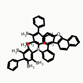 Bc1c(B)c(N(c2ccccc2-c2cccc3oc4c5ccccc5ccc4c23)c2c(B)c(B)c(-c3ccccc3)c(B)c2B)c(B)c(B)c1-c1ccccc1